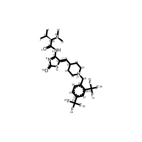 CC(C)[C@H](C(=O)NC1=NC(=O)S/C1=C\C1CCN(Cc2ccc(C(F)(F)F)cc2C(F)(F)F)CC1)N(C)C